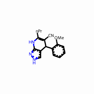 CCCC1=C(C#N)C(c2ccccc2OC)c2c[nH]nc2N1